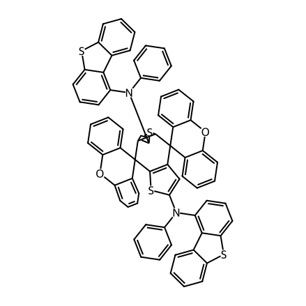 c1ccc(N(c2cc3c(s2)C2(c4ccccc4Oc4ccccc42)c2cc(N(c4ccccc4)c4cccc5sc6ccccc6c45)sc2C32c3ccccc3Oc3ccccc32)c2cccc3sc4ccccc4c23)cc1